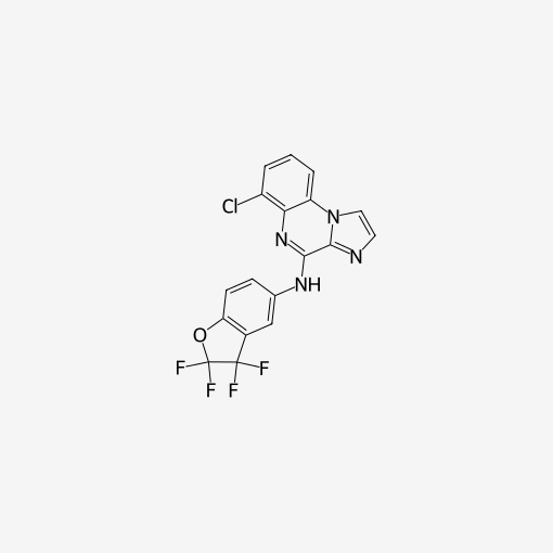 FC1(F)Oc2ccc(Nc3nc4c(Cl)cccc4n4ccnc34)cc2C1(F)F